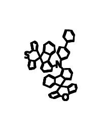 c1ccc(-c2ccc(N(c3cccc4c3-c3ccccc3C43c4ccccc4Oc4ccccc43)c3cccc4c3-c3ccccc3C43c4ccccc4Sc4ccccc43)cc2)cc1